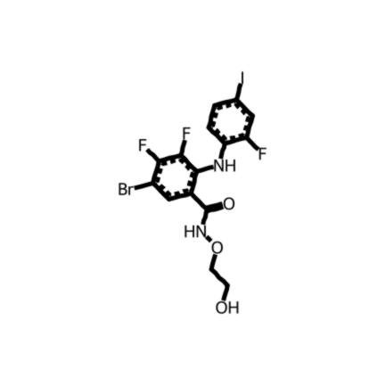 O=C(NOCCO)c1cc(Br)c(F)c(F)c1Nc1ccc(I)cc1F